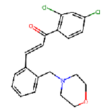 O=C(C=Cc1ccccc1CN1CCOCC1)c1ccc(Cl)cc1Cl